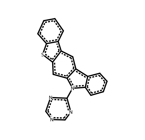 c1ccc2c(c1)sc1cc3c(cc12)c1ccccc1n3-c1ncncn1